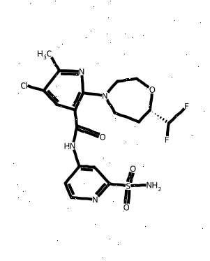 Cc1nc(N2CCO[C@H](C(F)F)CC2)c(C(=O)Nc2ccnc(S(N)(=O)=O)c2)cc1Cl